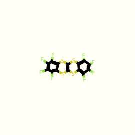 Fc1c(F)c(F)c2sc3sc4c(F)c(F)c(F)c(F)c4sc=3sc2c1F